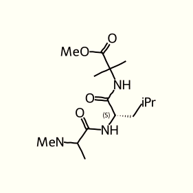 CNC(C)C(=O)N[C@@H](CC(C)C)C(=O)NC(C)(C)C(=O)OC